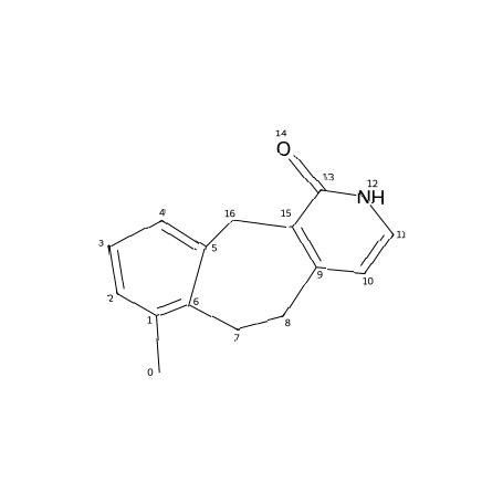 Cc1cccc2c1CCc1cc[nH]c(=O)c1C2